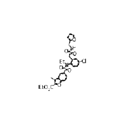 CCOC(=O)c1oc2ccc(S(=O)(=O)N(CC)c3ccc(Cl)cc3CS(=O)(=O)N(C)Cc3ccco3)cc2c1C